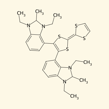 CCN1c2cccc(C3=C(c4cccc5c4N(CC)C(C)N5CC)SC(=C4SC=CS4)S3)c2N(CC)C1C